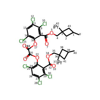 CC1CC(COC(=O)c2c(Cl)c(Cl)cc(Cl)c2OC(=O)C(=O)Oc2c(Cl)cc(Cl)c(Cl)c2C(=O)OCC2(C(C)C)CC(C)C2)(C(C)C)C1